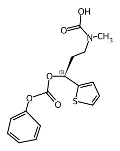 CN(CC[C@H](OC(=O)Oc1ccccc1)c1cccs1)C(=O)O